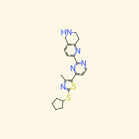 Cc1nc(SC2CCCC2)sc1-c1ccnc(-c2ccc3c(n2)CCNC3)n1